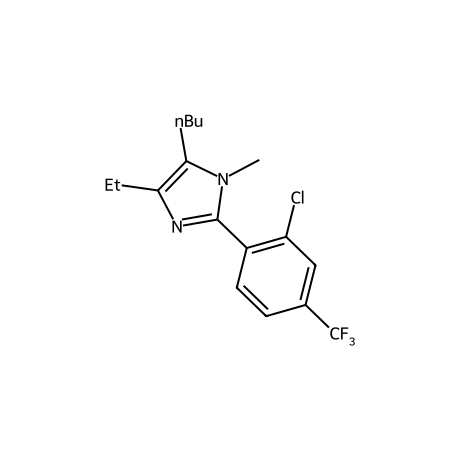 CCCCc1c(CC)nc(-c2ccc(C(F)(F)F)cc2Cl)n1C